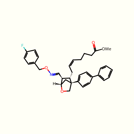 COC(=O)CCC/C=C\C[C@H]1[C@H](C=NOCc2ccc(F)cc2)[C@@H]2C[C@@]1(c1ccc(-c3ccccc3)cc1)CO2